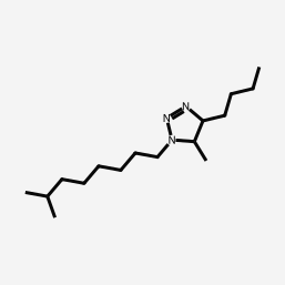 CCCCC1N=NN(CCCCCCC(C)C)C1C